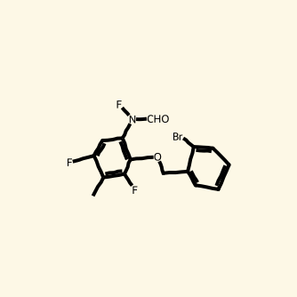 Cc1c(F)cc(N(F)C=O)c(OCc2ccccc2Br)c1F